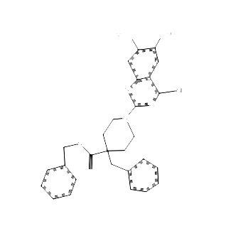 CC[C@H](NC(=O)C1(Cc2ccccc2)CCN(c2nc(N)c3cc(OC)c(OC)cc3n2)CC1)c1ccccc1